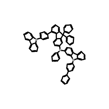 c1ccc(-c2ccc(-n3c4ccccc4c4ccc(N(c5ccccc5)c5ccc6c(c5)C(c5ccccc5)(c5ccccc5)c5cccc(-c7ccc(-n8c9ccccc9c9ccccc98)cc7)c5-6)cc43)cc2)cc1